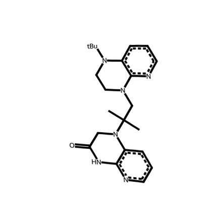 CC(C)(C)N1CCN(CC(C)(C)N2CC(=O)Nc3ncccc32)c2ncccc21